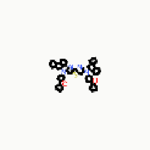 c1ccc2c(c1)cc(N(c1ccc3c(c1)oc1ccccc13)c1cnc3c(c1)sc1cc(N(c4ccc5c(c4)oc4ccccc45)c4cc5ccccc5c5ccccc45)cnc13)c1ccccc12